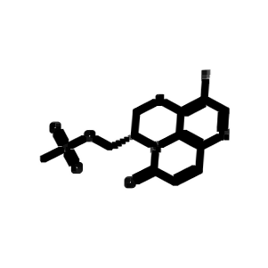 CS(=O)(=O)OC[C@@H]1CSc2c(F)cnc3ccc(=O)n1c23